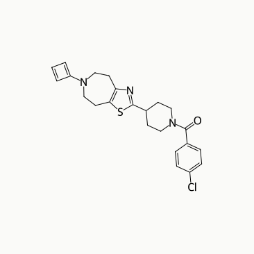 O=C(c1ccc(Cl)cc1)N1CCC(c2nc3c(s2)CCN(C2=CC=C2)CC3)CC1